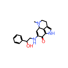 CN1CCc2c[nH]c3c2C1C=C(NCC(O)c1ccccc1)C3=O